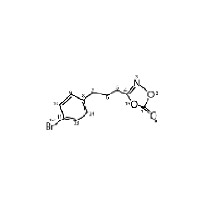 O=c1onc(CCCc2ccc(Br)cc2)o1